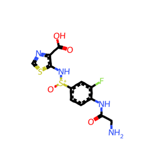 NCC(=O)Nc1ccc([S+]([O-])Nc2scnc2C(=O)O)cc1F